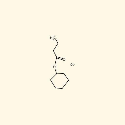 CCCC(=O)OC1CCCCC1.[Cu]